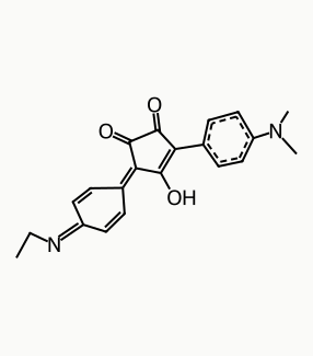 CCN=C1C=CC(=C2C(=O)C(=O)C(c3ccc(N(C)C)cc3)=C2O)C=C1